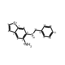 Nc1cc2ccsc2cc1SCc1ccccc1